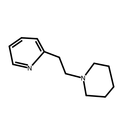 c1ccc(CCN2CCCCC2)nc1